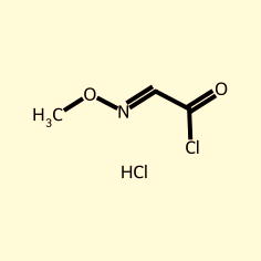 CON=CC(=O)Cl.Cl